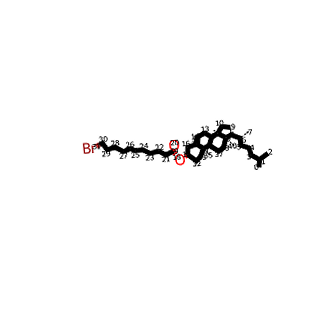 CC(C)CCC[C@@H](C)[C@H]1CCC2C3CC=C4CC(OC(=O)CCCCCCCCCCBr)CC[C@]4(C)C3CC[C@@]21C